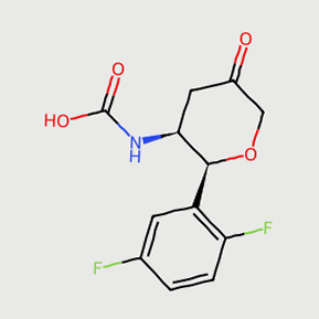 O=C1CO[C@@H](c2cc(F)ccc2F)[C@@H](NC(=O)O)C1